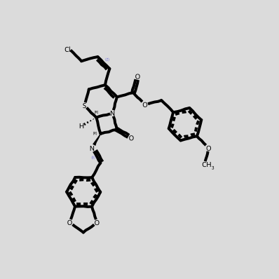 COc1ccc(COC(=O)C2=C(/C=C\CCl)CS[C@@H]3[C@H](/N=C/c4ccc5c(c4)OCO5)C(=O)N23)cc1